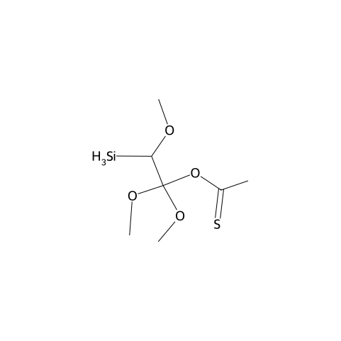 COC([SiH3])C(OC)(OC)OC(C)=S